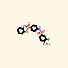 COc1ccc(S(=O)(=O)Nc2ccc(S(=O)(=O)Nc3ccccc3Br)cc2)cc1F